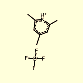 Cc1cc(C)[nH+]c(C)c1.F[B-](F)(F)F